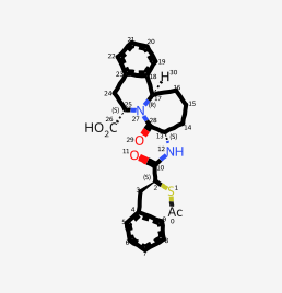 CC(=O)S[C@@H](Cc1ccccc1)C(=O)N[C@H]1CCC[C@@H]2c3ccccc3C[C@@H](C(=O)O)N2C1=O